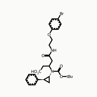 CC(C)(C)OC(=O)N(C(CC(=O)O)CC(=O)NCCOc1ccc(Br)cc1)[C@@H]1C[C@H]1c1ccccc1